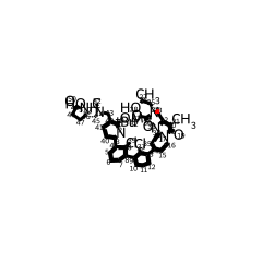 COc1nc(-c2cccc(-c3cccc(-c4ccn5c(=O)c(C)c(CN(CC(C)O)C(=O)OC(C)(C)C)nc5c4)c3Cl)c2Cl)ccc1CN(C[C@@H]1CCC(=O)N1)C(=O)O